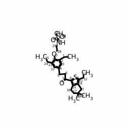 CCc1cc(CCC(=O)c2sc(CC)c3c2CCC(C)(C)C3)cc(CC)c1OCCNS(C)(=O)=O